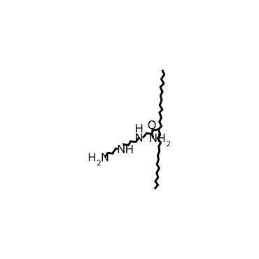 CCCCCCCCCCCCCCC(CCCCCCCCCCCCCC)C(=O)C(N)CCNCCCCNCCCN